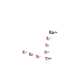 [Ba+2].[Br-].[Br-].[Br-].[Br-].[Br-].[Br-].[Ti+4]